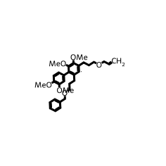 C=CCOCCCc1[c]c(CCCOCc2ccccc2)c(-c2ccc(OC)c(OC)c2)c(OC)c1OC